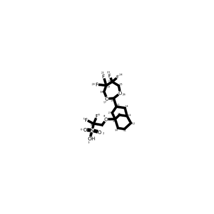 O=S(=O)(O)C(F)(F)COC12CCCC(CC(C3OCC(F)(F)C(F)(F)CO3)C1)C2